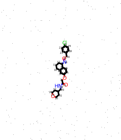 O=C(COc1ccc2c(c1)CCCC2=NOCc1ccc(Cl)cc1)NCC1CCOCC1